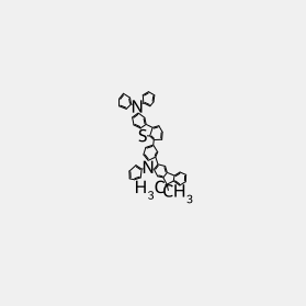 CC1(C)c2ccccc2-c2cc3c4cc(-c5cccc6c5sc5ccc(N(c7ccccc7)c7ccccc7)cc56)ccc4n(-c4ccccc4)c3cc21